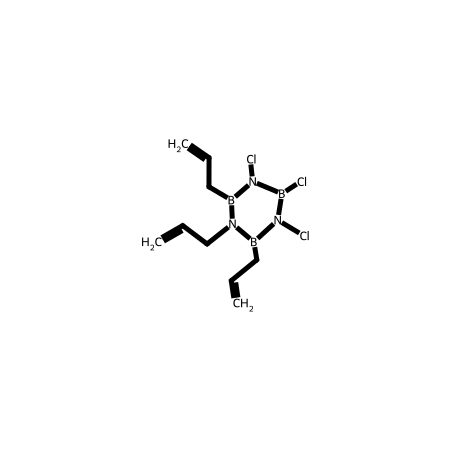 C=CCB1N(Cl)B(Cl)N(Cl)B(CC=C)N1CC=C